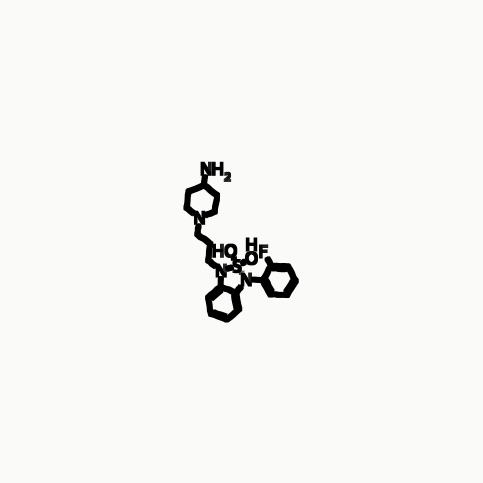 NC1CCN(CCCN2c3ccccc3N(c3ccccc3F)S2(O)O)CC1